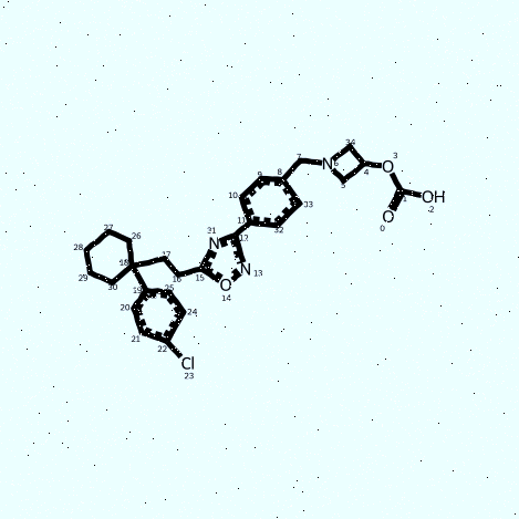 O=C(O)OC1CN(Cc2ccc(-c3noc(CCC4(c5ccc(Cl)cc5)CCCCC4)n3)cc2)C1